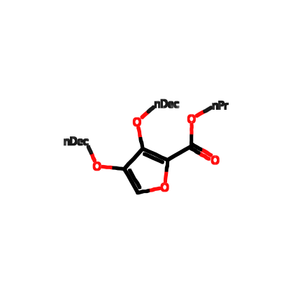 CCCCCCCCCCOc1coc(C(=O)OCCC)c1OCCCCCCCCCC